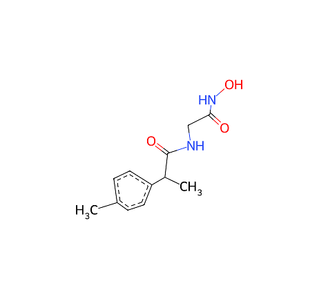 Cc1ccc(C(C)C(=O)NCC(=O)NO)cc1